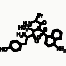 CC(C)C(N)C(=O)N(C(C(=O)O)C(=O)C(N)Cc1ccc(O)cc1)S(=O)(=O)c1ccc(N)c2ccccc12